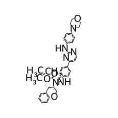 CC(C)(C)OC(=O)N(Nc1ccc(-c2ccnc(Nc3ccc(N4CCOCC4)cc3)n2)cc1)[C@@H](C=O)Cc1ccccc1